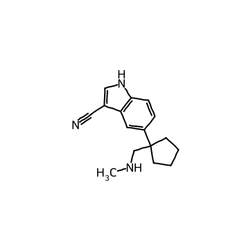 CNCC1(c2ccc3[nH]cc(C#N)c3c2)CCCC1